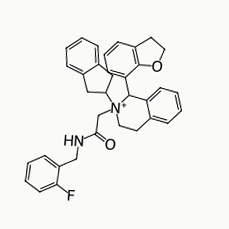 O=C(C[N+]1(C2Cc3ccccc3C2)CCc2ccccc2C1c1cccc2c1OCC2)NCc1ccccc1F